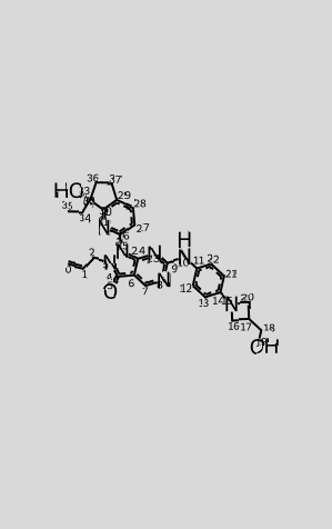 C=CCn1c(=O)c2cnc(Nc3ccc(N4CC(CO)C4)cc3)nc2n1-c1ccc2c(n1)[C@@](O)(CC)CC2